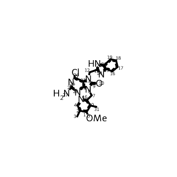 COc1c(C)cnc(Cn2c(=O)n(Cc3nc4ccccc4[nH]3)c3c(Cl)nc(N)nc32)c1C